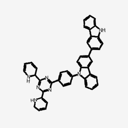 C1=CCNC(c2nc(-c3ccc(-n4c5ccccc5c5cc(-c6ccc7[nH]c8ccccc8c7c6)ccc54)cc3)nc(C3C=CC=CN3)n2)=C1